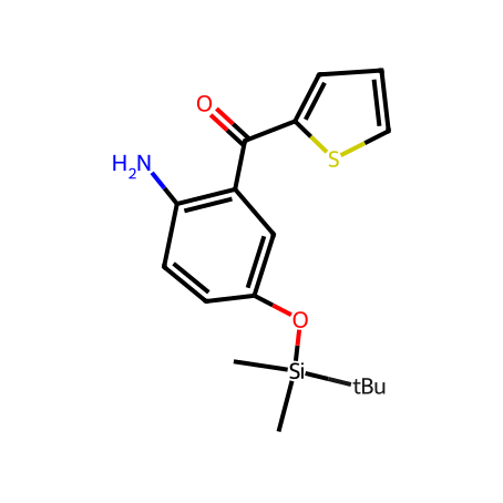 CC(C)(C)[Si](C)(C)Oc1ccc(N)c(C(=O)c2cccs2)c1